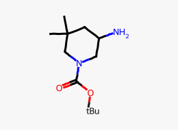 CC1(C)CC(N)CN(C(=O)OC(C)(C)C)C1